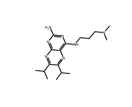 CC(C)c1nc2nc(N)nc(NCCCN(C)C)c2nc1C(C)C